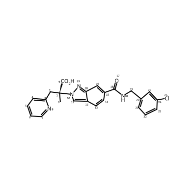 C[C@@](Cc1ccccn1)(C(=O)O)n1cc2ccc(C(=O)NCc3cccc(Cl)c3)cc2n1